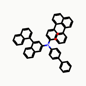 c1ccc(-c2ccc(N(c3ccc(-c4cccc5cccc(-c6ccccc6)c45)cc3)c3cc(-c4cccc5ccccc45)c4ccccc4c3)cc2)cc1